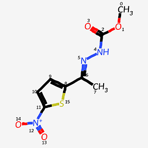 COC(=O)NN=C(C)c1ccc([N+](=O)[O-])s1